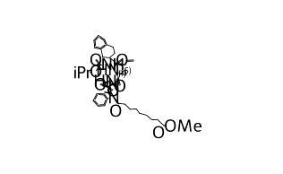 C=C[C@@H]1C[C@]1(NC(=O)C1(NC(=O)OC(C)C)CCc2ccccc2C1)C(=O)NS(=O)(=O)c1ccccc1NC(=O)CCCCCCCC(=O)OC